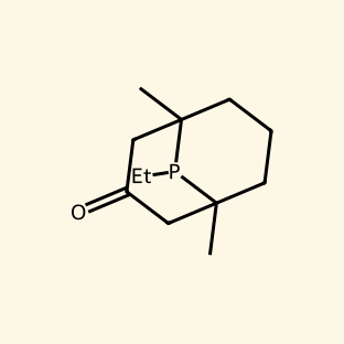 CCP1C2(C)CCCC1(C)CC(=O)C2